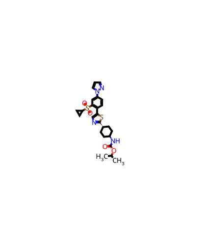 CC(C)OC(=O)N[C@H]1CC[C@H](c2ncc(-c3ccc(-n4cccn4)cc3S(=O)(=O)C3CC3)s2)CC1